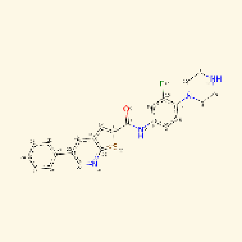 O=C(Nc1ccc(N2CCNCC2)c(F)c1)c1cc2cc(-c3ccccc3)cnc2s1